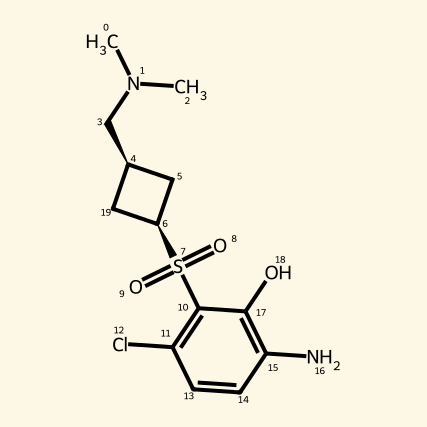 CN(C)C[C@H]1C[C@@H](S(=O)(=O)c2c(Cl)ccc(N)c2O)C1